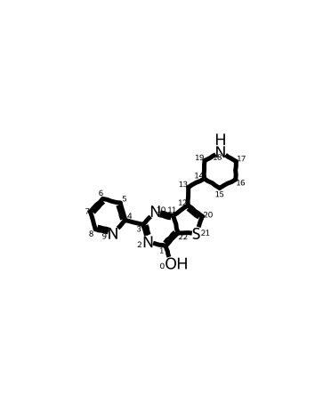 Oc1nc(-c2ccccn2)nc2c(CC3CCCNC3)csc12